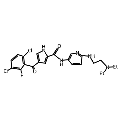 CCN(CC)CCNc1ccc(NC(=O)c2cc(C(=O)c3c(Cl)ccc(Cl)c3F)c[nH]2)cn1